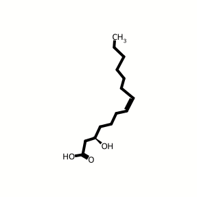 CCCCCC/C=C\CCC[C@@H](O)CC(=O)O